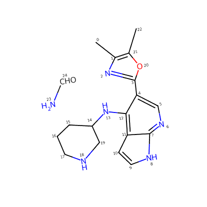 Cc1nc(-c2cnc3[nH]ccc3c2NC2CCCNC2)oc1C.NC=O